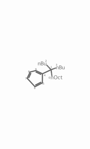 CCCCCCCCC(CCCC)(CCCC)c1[c]cccc1